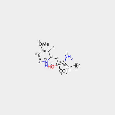 COC1=C(C)C(C[C@](O)(C(=O)O)[C@@H](N)CC(C)C)NC=C1